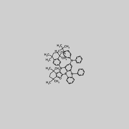 CC(C)(C)c1ccc(N(c2ccccc2)c2cc3c4c(c2)N(c2ccc5c(c2)C(C)(C)CCC5(C)C)c2c(oc5c2C(C)(C)CCC5(C)C)B4c2ccccc2N3c2ccccc2)cc1